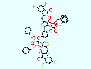 O=C1C(=O)c2c(F)cc(F)cc2/C1=C/c1cc2c(s1)-c1cc3c(cc1OC2(C(=O)OCc1ccccc1)C(=O)OCc1ccccc1)-c1sc(/C=C2\C(=O)C(=O)c4c(F)cc(F)cc42)cc1C(C(=O)OCc1ccccc1)(C(=O)OCc1ccccc1)O3